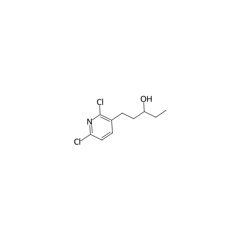 CCC(O)CCc1ccc(Cl)nc1Cl